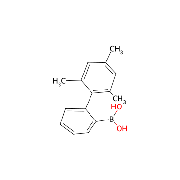 Cc1cc(C)c(-c2ccccc2B(O)O)c(C)c1